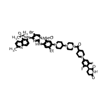 CCc1cc(Nc2ncc(Br)c(Nc3ccc4nc(C)ccc4c3P(C)(C)=O)n2)c(OC)cc1N1CCC(N2CCN(C(=O)C3CCN(c4cc(F)c(C5CCC(=O)NC5=O)c(F)c4)CC3)CC2)CC1